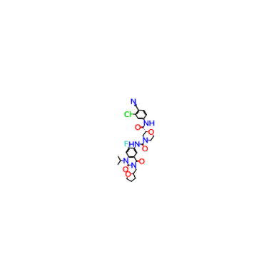 CC(C)n1c(=O)n(CC2CCCO2)c(=O)c2cc(NC(=O)N3CCO[C@@H](C(=O)Nc4ccc(C#N)c(Cl)c4)C3)c(F)cc21